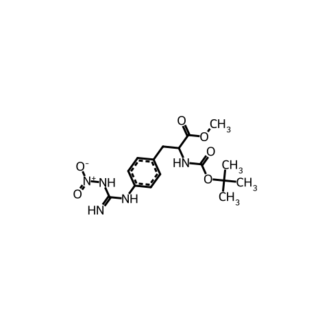 COC(=O)C(Cc1ccc(NC(=N)N[N+](=O)[O-])cc1)NC(=O)OC(C)(C)C